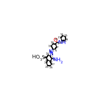 Nc1c(/N=N/c2ccc(C(=O)Nc3ccccc3)cc2)cc(S(=O)(=O)O)c2ccccc12